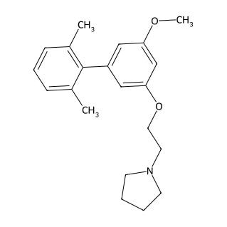 COc1cc(OCCN2CCCC2)cc(-c2c(C)cccc2C)c1